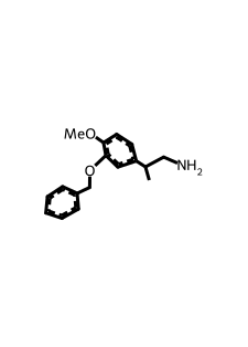 COc1ccc(C(C)CN)cc1OCc1ccccc1